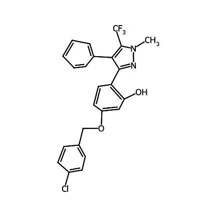 Cn1nc(-c2ccc(OCc3ccc(Cl)cc3)cc2O)c(-c2ccccc2)c1C(F)(F)F